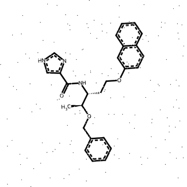 C[C@H](OCc1ccccc1)[C@@H](CCOc1ccc2ccccc2c1)NC(=O)c1c[nH]cn1